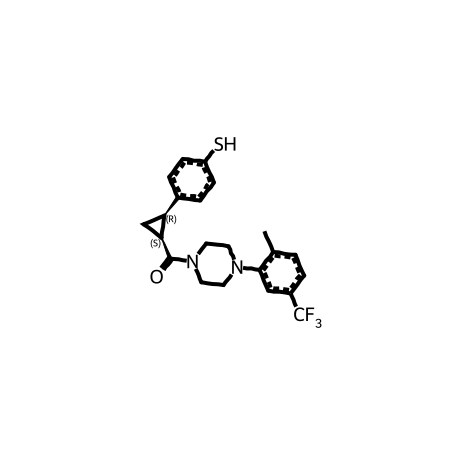 Cc1ccc(C(F)(F)F)cc1N1CCN(C(=O)[C@H]2C[C@H]2c2ccc(S)cc2)CC1